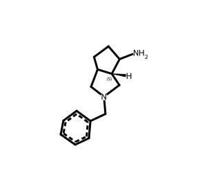 NC1CCC2CN(Cc3ccccc3)C[C@@H]12